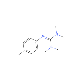 Cc1ccc(N=C(N(C)C)N(C)C)cc1